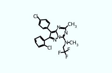 Cc1nc(N(C)CC(F)(F)F)n2nc(-c3ccccc3Cl)c(-c3ccc(Cl)cc3)c2n1